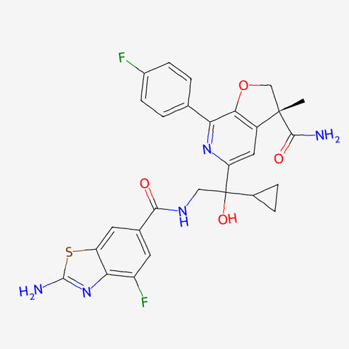 C[C@]1(C(N)=O)COc2c1cc(C(O)(CNC(=O)c1cc(F)c3nc(N)sc3c1)C1CC1)nc2-c1ccc(F)cc1